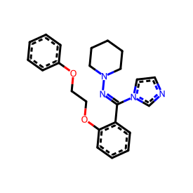 c1ccc(OCCOc2ccccc2C(=NN2CCCCC2)n2ccnc2)cc1